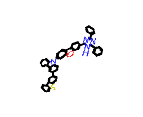 c1ccc(C2=NC(c3ccc4c(c3)oc3cc(-n5c6ccccc6c6cc(-c7ccc8sc9ccccc9c8c7)ccc65)ccc34)NC(c3ccccc3)=N2)cc1